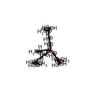 CC(=O)NC1C(O)[C@@H](O)C(CO)O[C@H]1OCCCCC(=O)NCCCNC(=O)CCOCC(COCCC(=O)NCCCNO[C@@H]1OC2C(CO)[C@H](O)C(O)C21NC(C)=O)(COCCC(=O)NCCCNC(=O)CCCCO[C@@H]1OC2[C@H](CO)[C@H](O)C(O)C21NC(C)=O)NC(=O)CCCCCCNC(=O)CON